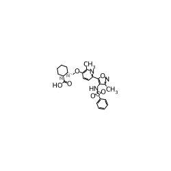 Cc1nc(-c2onc(C)c2NS(=O)(=O)c2ccccc2)ccc1OC[C@H]1CCCC[C@@H]1C(=O)O